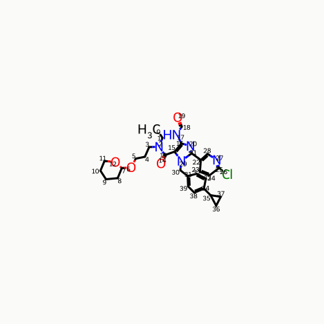 CCN(CCCOC1CCCCO1)C(=O)c1c(NC=O)nc(-c2ccc(Cl)nc2)n1Cc1ccc(C2CC2)cc1